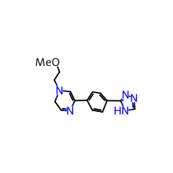 COCCN1C=C(c2ccc(-c3nnc[nH]3)cc2)N=CC1